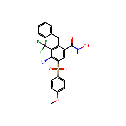 COc1ccc(S(=O)(=O)c2cc(C(=O)NO)c(Cc3ccccc3)c(C(F)(F)F)c2N)cc1